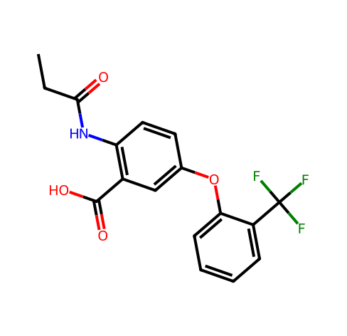 CCC(=O)Nc1ccc(Oc2ccccc2C(F)(F)F)cc1C(=O)O